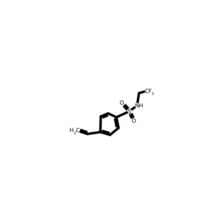 C=Cc1ccc(S(=O)(=O)NCC(F)(F)F)cc1